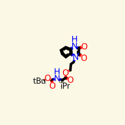 CC(C)[C@H](NC(=O)OC(C)(C)C)C(=O)OCCCn1c(=O)c(=O)[nH]c2ccccc21